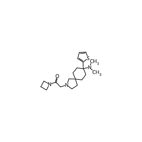 CN(C)C1(c2cccs2)CCC2(CCN(CC(=O)N3CCC3)C2)CC1